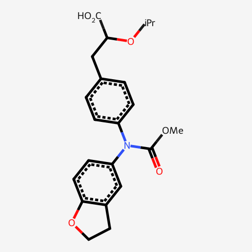 COC(=O)N(c1ccc(CC(OC(C)C)C(=O)O)cc1)c1ccc2c(c1)CCO2